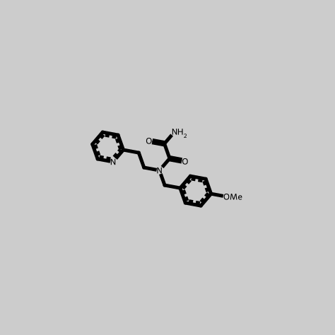 COc1ccc(CN(CCc2ccccn2)C(=O)C(N)=O)cc1